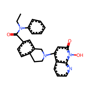 CCN(C(=O)c1ccc2c(c1)CN(c1cc(=O)n(O)c3ncccc13)CC2)c1ccccc1